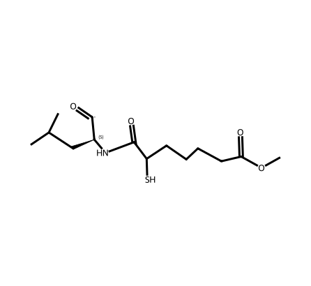 COC(=O)CCCCC(S)C(=O)N[C@H]([C]=O)CC(C)C